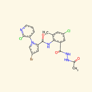 CC(=O)NNC(=O)c1cc(Cl)cc(C)c1NC(=O)c1cc(Br)cn1-c1cccnc1Cl